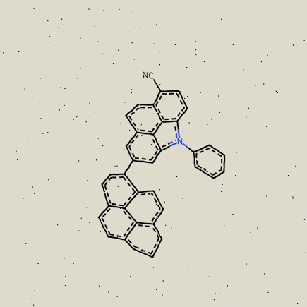 N#Cc1ccc2c3c1ccc1cc(-c4ccc5ccc6cccc7ccc4c5c67)cc(c13)n2-c1ccccc1